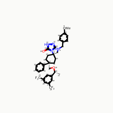 COc1ccc(CNC[C@]2(n3cn[nH]c3=O)CC[C@@](CO[C@H](C)c3cc(C(F)(F)F)cc(C(F)(F)F)c3)(c3ccccc3)CC2)cc1